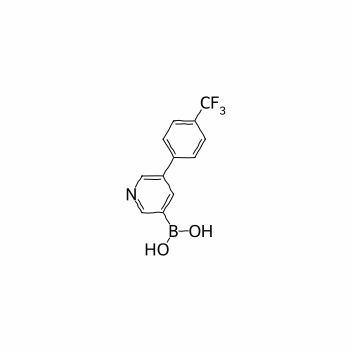 OB(O)c1cncc(-c2ccc(C(F)(F)F)cc2)c1